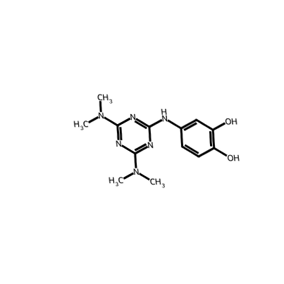 CN(C)c1nc(Nc2ccc(O)c(O)c2)nc(N(C)C)n1